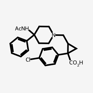 CC(=O)NC1(c2ccccc2)CCN(CC2CC2(C(=O)O)c2ccc(Cl)cc2)CC1